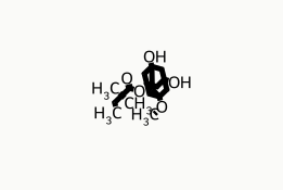 CCC(C)(C)C(=O)OC12CC3(O)CC(O)(CC(OC)(C3)C1)C2